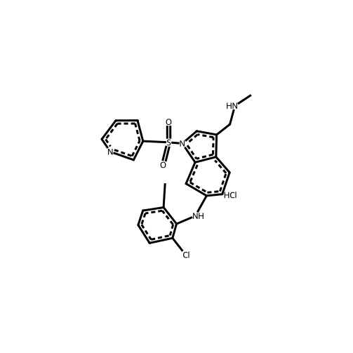 CNCc1cn(S(=O)(=O)c2cccnc2)c2cc(Nc3c(C)cccc3Cl)ccc12.Cl